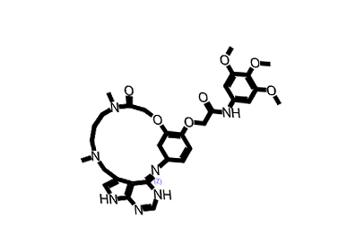 COc1cc(NC(=O)COC2=C3CC(C=C2)/N=C2\NC=Nc4[nH]cc(c42)CN(C)CCCN(C)C(=O)CO3)cc(OC)c1OC